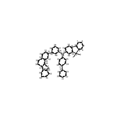 CC1(C)c2ccccc2-c2ccc(N(c3ccc(-c4ccccc4)cc3)c3cccc(-c4ccc5ccc6c7ccccc7sc6c5c4)c3)cc21